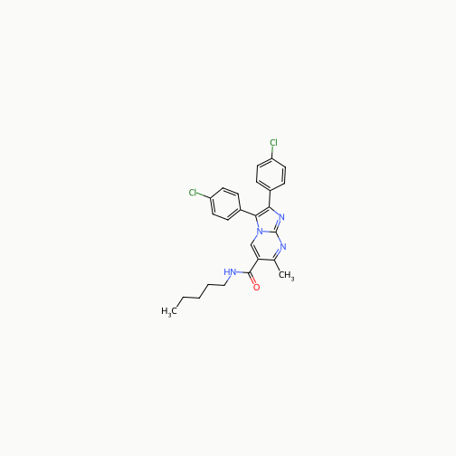 CCCCCNC(=O)c1cn2c(-c3ccc(Cl)cc3)c(-c3ccc(Cl)cc3)nc2nc1C